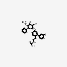 CO[C@@H]1[C@@H](O)[C@@H](O)[C@H](Oc2ccc(CCNC(C)=O)c(-c3cccc(F)c3)c2)O[C@H]1c1ccccc1